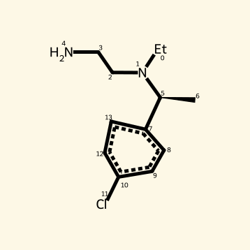 CCN(CCN)[C@@H](C)c1ccc(Cl)cc1